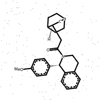 COc1ccc([C@H]2c3ccccc3CCN2C(=O)C[C@@H]2CN3CCC2CC3)cc1